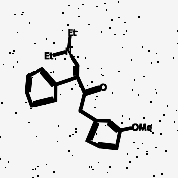 CCN(C=C(C(=O)Cc1cccc(OC)c1)c1ccccc1)CC